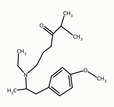 CCN(CCCC(=O)C(C)C)C(C)Cc1ccc(OC)cc1